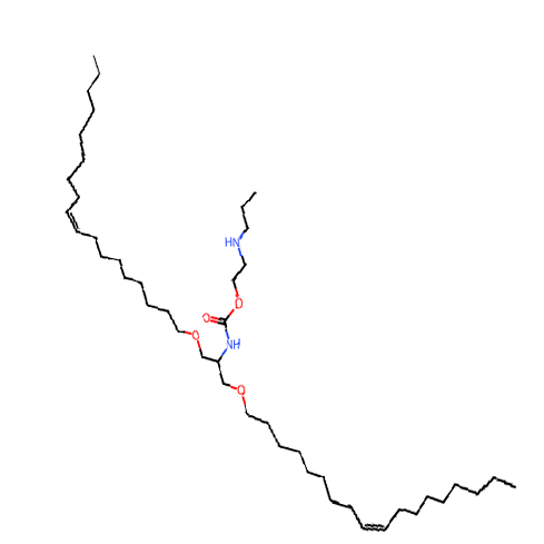 CCCCCCCC/C=C\CCCCCCCCOCC(COCCCCCCCC/C=C\CCCCCCCC)NC(=O)OCCNCCC